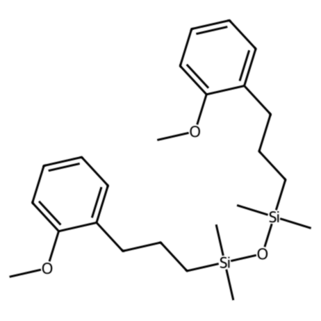 COc1ccccc1CCC[Si](C)(C)O[Si](C)(C)CCCc1ccccc1OC